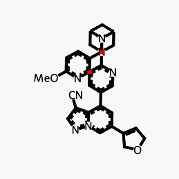 COc1ccc(CN2C3CC2CN(c2ccc(-c4cc(C5=CCOC5)cn5ncc(C#N)c45)cn2)C3)cn1